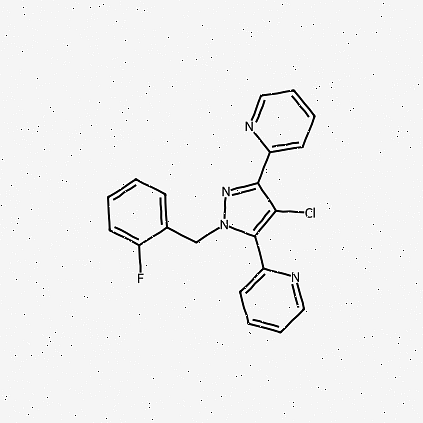 Fc1ccccc1Cn1nc(-c2ccccn2)c(Cl)c1-c1ccccn1